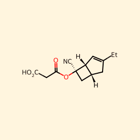 CCC1=C[C@@H]2[C@H](C1)C[C@@]2(C#N)OC(=O)CC(=O)O